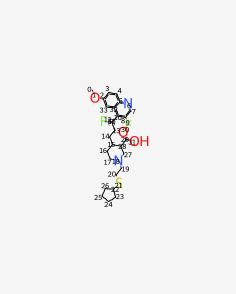 COc1ccc2ncc(F)c([C@H](F)CCC3CCN(CCSC4CCCC4)CC3C(=O)O)c2c1